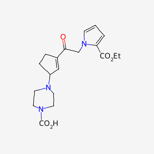 CCOC(=O)c1cccn1CC(=O)C1=CC(N2CCN(C(=O)O)CC2)CC1